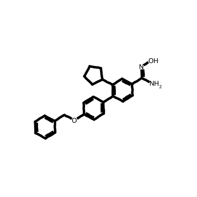 NC(=NO)c1ccc(-c2ccc(OCc3ccccc3)cc2)c(C2CCCC2)c1